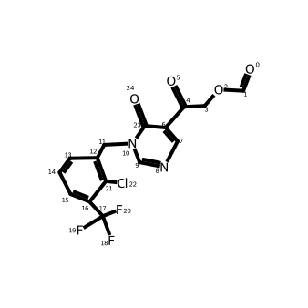 O=COCC(=O)c1cncn(Cc2cccc(C(F)(F)F)c2Cl)c1=O